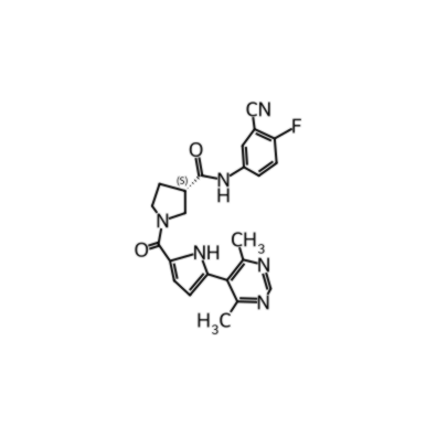 Cc1ncnc(C)c1-c1ccc(C(=O)N2CC[C@H](C(=O)Nc3ccc(F)c(C#N)c3)C2)[nH]1